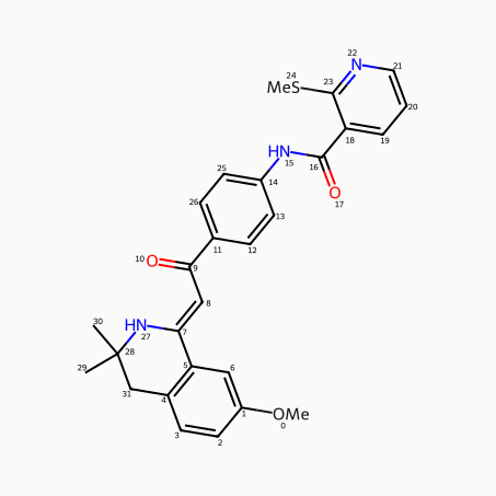 COc1ccc2c(c1)C(=CC(=O)c1ccc(NC(=O)c3cccnc3SC)cc1)NC(C)(C)C2